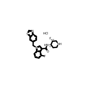 Cl.O=C(N[C@H]1CCNC[C@H]1F)c1cn(Cc2ccc3ncsc3c2)c2cccc(F)c12